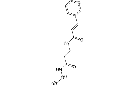 CCCNNC(=O)CCNC(=O)C=Cc1cccnc1